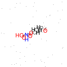 CC(=O)[C@H]1CC[C@H]2[C@@H]3CC[C@H]4C[C@](C)(OC(=O)CNCC(=O)O)CC[C@]4(C)[C@H]3CC[C@]12C